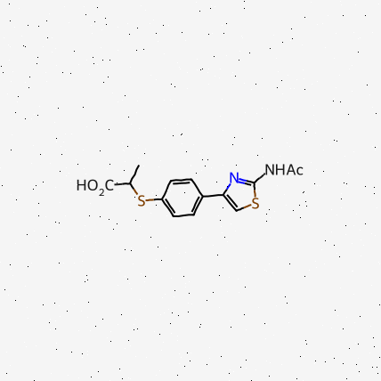 CC(=O)Nc1nc(-c2ccc(SC(C)C(=O)O)cc2)cs1